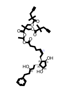 C#CCC(C)(C)C(=O)OCC(C)(COC(=O)C(C)(C)CC#C)C(=O)OC(C)OC(=O)CCC/C=C\C[C@@H]1[C@@H](CC[C@@H](O)CCc2ccccc2)[C@H](O)C[C@@H]1O